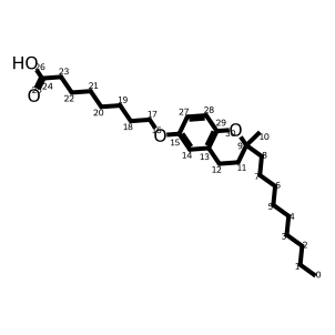 CCCCCCCCCC1(C)CCc2cc(OCCCCCCCC(=O)O)ccc2O1